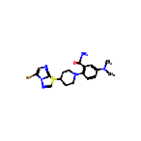 CN(C)c1ccc(N2CCC([SH]3C=Nn4c(Br)cnc43)CC2)c(C(N)=O)c1